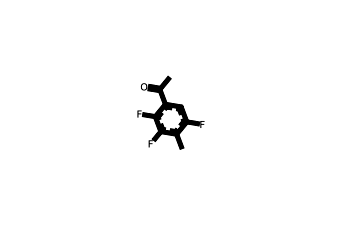 CC(=O)c1cc(F)c(C)c(F)c1F